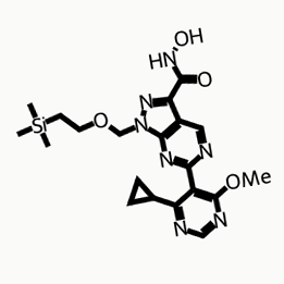 COc1ncnc(C2CC2)c1-c1ncc2c(C(=O)NO)nn(COCC[Si](C)(C)C)c2n1